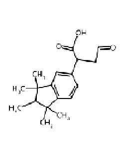 CC1C(C)(C)c2ccc(C(CC=O)C(=O)O)cc2C1(C)C